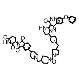 NC(=O)c1c(-c2ccc(Oc3ccccc3)cc2)nn2c1NCCC2C1CCN(CC2CCN(C(=O)N3CCC(CN4CCC(c5ccc6c(c5)C(=O)N(C5CCC(=O)NC5=O)C6=O)CC4)CC3)CC2)CC1